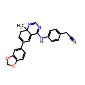 CC12CC=C(c3ccc4c(c3)OCO4)C=C1C(Nc1ccc(CC#N)cc1)=NC=N2